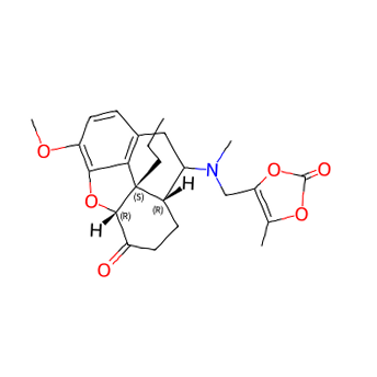 CCC[C@]12c3c4ccc(OC)c3O[C@H]1C(=O)CC[C@H]2C(N(C)Cc1oc(=O)oc1C)C4